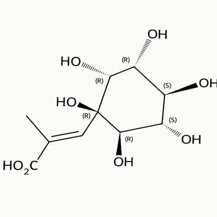 CC(=C[C@]1(O)[C@H](O)[C@H](O)[C@@H](O)[C@H](O)[C@H]1O)C(=O)O